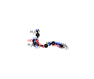 Cc1ncsc1-c1ccc(CNC(=O)[C@@H]2C[C@@H](O)CN2C(=O)[C@@H](NC(=O)COCCOc2ccc3c(c2)sc2nc(-c4ccc(NC(O)Nc5cc(C(C)(C)C)on5)cc4)cn23)C(C)(C)C)cc1